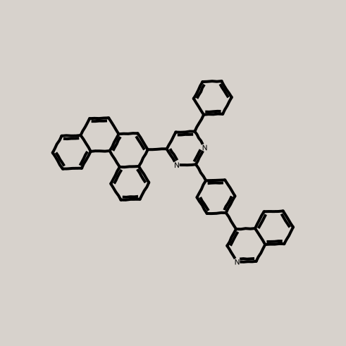 c1ccc(-c2cc(-c3cc4ccc5ccccc5c4c4ccccc34)nc(-c3ccc(-c4cncc5ccccc45)cc3)n2)cc1